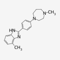 Cc1cccc2[nH]c(-c3ccc(N4CCCN(C)CC4)cc3)nc12